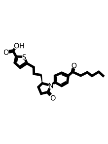 CCCCCC(=O)c1ccc(N2C(=O)CC[C@H]2CCCc2ccc(C(=O)O)s2)cc1